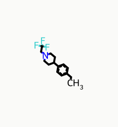 CCc1ccc(C2CCN(CC(F)(F)F)CC2)cc1